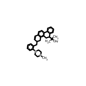 CN1CCN(c2ccccc2CC2C=Cc3ccc4c(c3C2)CC(C(C)(C)O)c2ccccc2-4)CC1